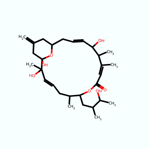 C=C1CC2C/C=C/C(O)C(C)/C(C)=C\C(=O)OC(CC(C)C(C)O)C(C)C/C=C/C(C)(O)C(O)(C1)O2